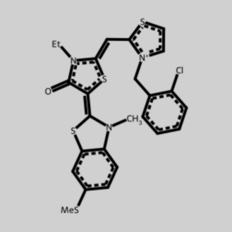 CCn1c(=O)/c(=C2\Sc3cc(SC)ccc3N2C)s/c1=C\c1scc[n+]1Cc1ccccc1Cl